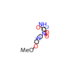 COCCOC1CCC(C)(N2CCC(n3c(=O)oc4ccc(C(N)=O)cc43)CC2)CC1